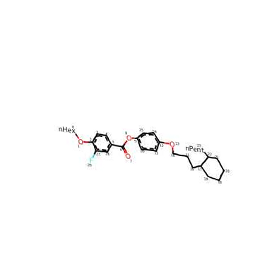 CCCCCCOc1ccc(C(=O)Oc2ccc(OCCCC3CCCCC3CCCCC)cc2)cc1F